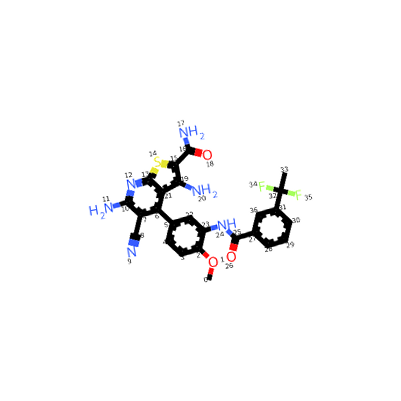 COc1ccc(-c2c(C#N)c(N)nc3sc(C(N)=O)c(N)c23)cc1NC(=O)c1cccc(C(C)(F)F)c1